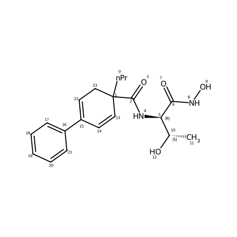 CCCC1(C(=O)N[C@@H](C(=O)NO)[C@H](C)O)C=CC(c2ccccc2)=CC1